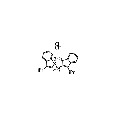 CC(C)C1=C[C]2([Zr+2][CH]3C(=C(C(C)C)c4ccccc43)[Si]2(C)C)c2ccccc21.[Cl-].[Cl-]